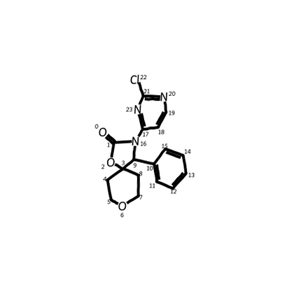 O=C1OC2(CCOCC2)C(c2ccccc2)N1c1ccnc(Cl)n1